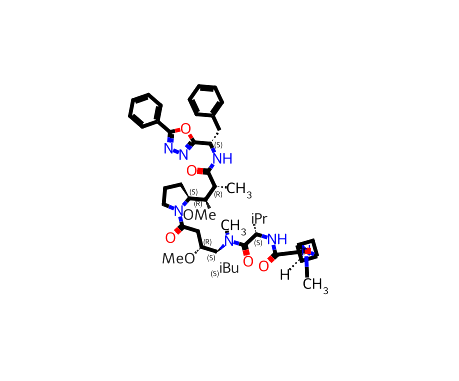 CC[C@H](C)[C@@H]([C@@H](CC(=O)N1CCC[C@H]1[C@H](OC)[C@@H](C)C(=O)N[C@@H](Cc1ccccc1)c1nnc(-c2ccccc2)o1)OC)N(C)C(=O)[C@@H](NC(=O)[C@@H]1C2CC(C2)N1C)C(C)C